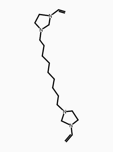 C=CN1CCN(CCCCCCCCCN2CCN(C=C)C2)C1